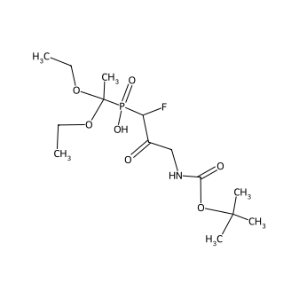 CCOC(C)(OCC)P(=O)(O)C(F)C(=O)CNC(=O)OC(C)(C)C